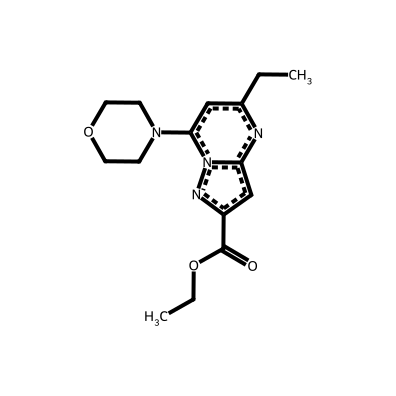 CCOC(=O)c1cc2nc(CC)cc(N3CCOCC3)n2n1